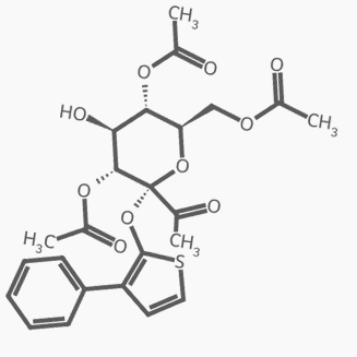 CC(=O)OC[C@H]1O[C@@](Oc2sccc2-c2ccccc2)(C(C)=O)[C@H](OC(C)=O)[C@@H](O)[C@@H]1OC(C)=O